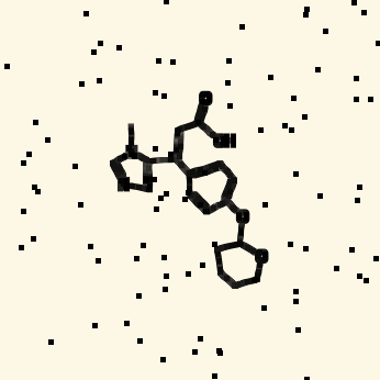 Cn1cncc1C(=CC(=O)O)c1ccc(OC2CCCCO2)cc1